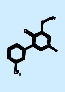 CCCSc1cn(C)cc(-c2cccc(C(F)(F)F)c2)c1=O